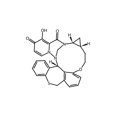 O=C1c2c(O)c(=O)ccn2N2CN1[C@@H]1C[C@@H]1CCOc1cccc3c1[C@@H]2c1ccccc1SC3